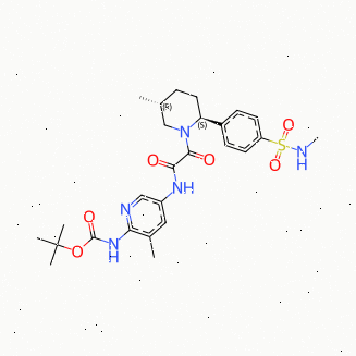 CNS(=O)(=O)c1ccc([C@@H]2CC[C@@H](C)CN2C(=O)C(=O)Nc2cnc(NC(=O)OC(C)(C)C)c(C)c2)cc1